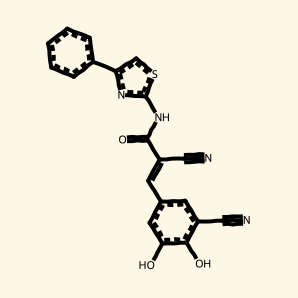 N#C/C(=C\c1cc(O)c(O)c(C#N)c1)C(=O)Nc1nc(-c2ccccc2)cs1